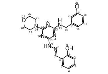 Oc1ccccc1C=NNc1nc(NCc2cccc(Cl)c2)nc(N2CCOCC2)n1